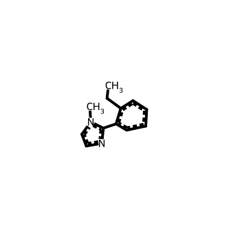 CCc1ccccc1-c1nccn1C